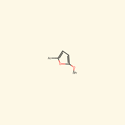 CCCOc1ccc(C(C)=O)o1